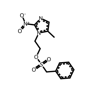 Cc1cnc([N+](=O)[O-])n1CCOS(=O)(=O)Cc1ccccc1